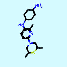 Cc1nc(N2CC(C)SC(C)C2)ccc1NC1CCC(N)CC1